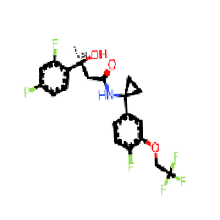 C[C@](O)(CC(=O)NC1(c2ccc(F)c(OCC(F)(F)F)c2)CC1)c1ccc(F)cc1F